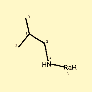 CC(C)C[NH][RaH]